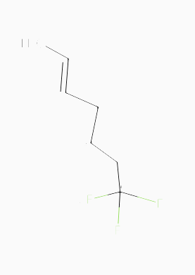 CC=CCCCC(F)(F)F